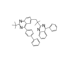 CC(C)(C)c1nc(-c2ccc(-c3ccccc3)cc2)c2cc(CC(C)(C)c3nc(-c4ccccc4)c4ccccc4n3)ccc2n1